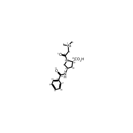 C[As](C)CC(=O)N1C[C@H](NC(=O)c2ccccc2)C[C@H]1C(=O)O